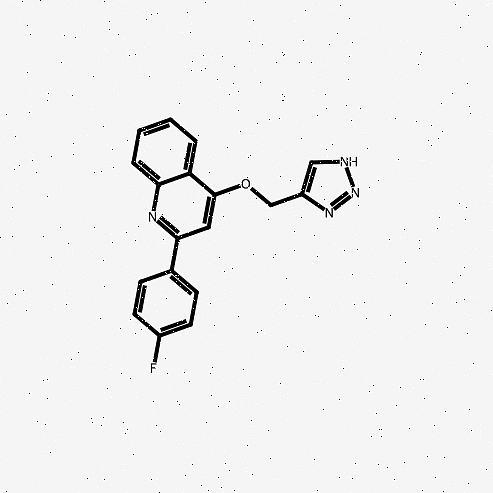 Fc1ccc(-c2cc(OCc3c[nH]nn3)c3ccccc3n2)cc1